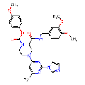 COc1ccc(OC(=O)N2CCN(c3cc(C)nc(-n4ccnc4)n3)CC2C(=O)NCc2ccc(OC)c(OC)c2)cc1